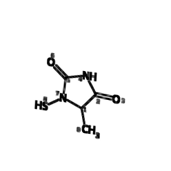 CC1C(=O)NC(=O)N1S